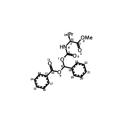 COC(=O)[C@@H](NC(=O)OC(OC(=O)c1ccccc1)c1ccccc1)C(C)C